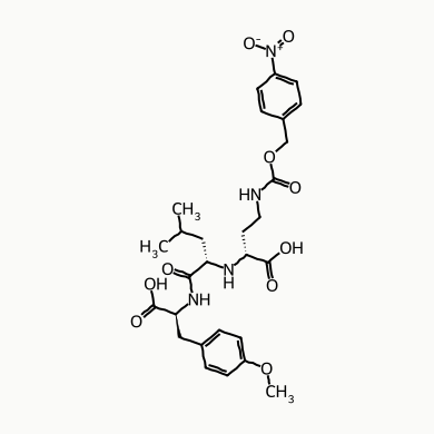 COc1ccc(C[C@H](NC(=O)[C@H](CC(C)C)N[C@H](CCNC(=O)OCc2ccc([N+](=O)[O-])cc2)C(=O)O)C(=O)O)cc1